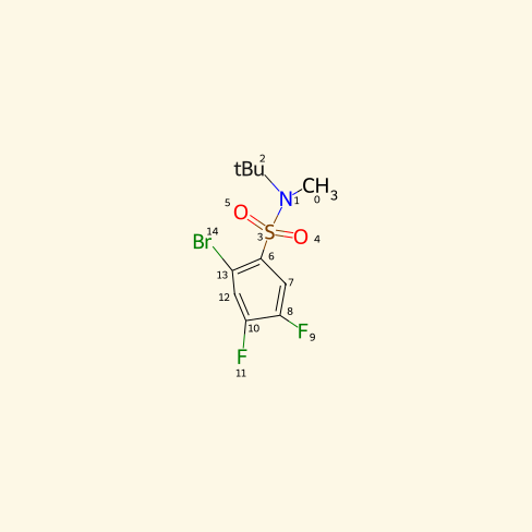 CN(C(C)(C)C)S(=O)(=O)c1cc(F)c(F)cc1Br